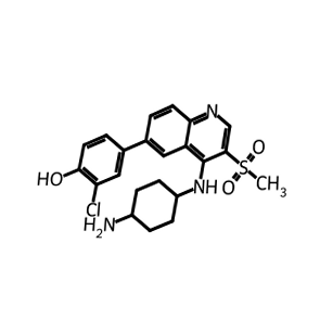 CS(=O)(=O)c1cnc2ccc(-c3ccc(O)c(Cl)c3)cc2c1NC1CCC(N)CC1